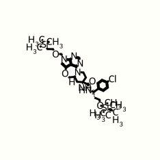 CC(C)(C)[Si](C)(C)OCC[C@H](NC(=O)[C@]1(N)CCN2c3ncnc4c3c(cn4COCC[Si](C)(C)C)OC[C@@H]2C1)c1ccc(Cl)cc1